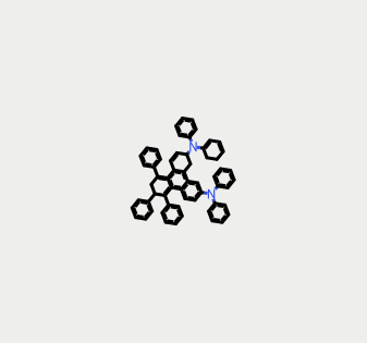 C1=CCCC(N(c2ccccc2)C2C=Cc3c(c4cc(N(c5ccccc5)c5ccccc5)ccc4c4c3=C(c3ccccc3)CC(c3ccccc3)C=4c3ccccc3)C2)=C1